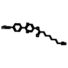 CCCCCCCCCc1ccc(-c2ncc(OC(=O)CCCCCCC(C)CC)cn2)cc1